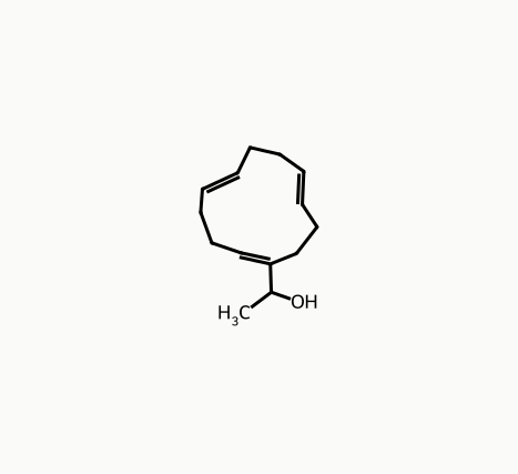 CC(O)/C1=C\CC/C=C/CC/C=C/CC1